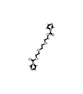 O=C(OCCOCCOCCOC(=O)n1ccnc1)n1ccnc1